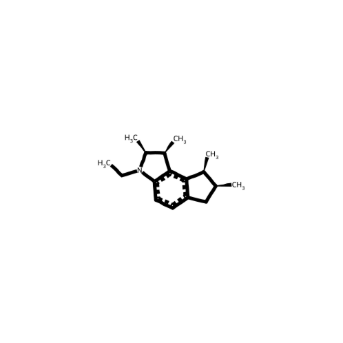 CCN1c2ccc3c(c2[C@H](C)[C@@H]1C)[C@@H](C)[C@@H](C)C3